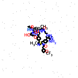 Cc1ncsc1-c1ccc([C@H](CC(=O)NC(C)C(C)C(=O)NCCCn2cc(-c3ccc4c(c3)CCN4C(=O)Cc3cccc(OC(F)(F)F)c3)c3c(N)ncnc32)NC(=O)[C@@H]2C[C@@H](O)CN2C(=O)C(NC(=O)C2(F)CC2)C(C)(C)C)cc1